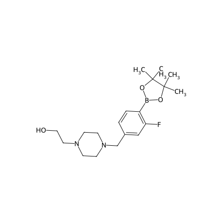 CC1(C)OB(c2ccc(CN3CCN(CCO)CC3)cc2F)OC1(C)C